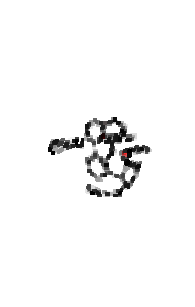 COc1cccc(OC)c1-c1cccc(-c2c(OC)cccc2OC)c1P(c1ccccc1)C(C)C